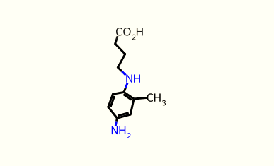 Cc1cc(N)ccc1NCCCC(=O)O